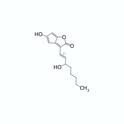 CCCCCC(O)/C=C/C1=C2C=C(O)C=C2OC1=O